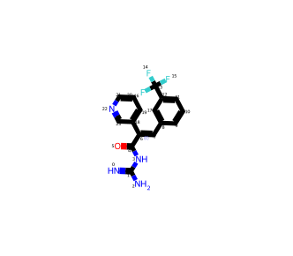 N=C(N)NC(=O)/C(=C/c1cccc(C(F)(F)F)c1)c1cccnc1